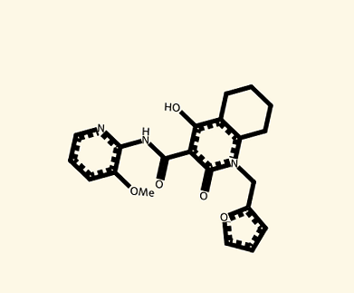 COc1cccnc1NC(=O)c1c(O)c2c(n(Cc3ccco3)c1=O)CCCC2